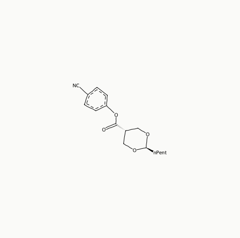 CCCCC[C@H]1OC[C@H](C(=O)Oc2ccc(C#N)cc2)CO1